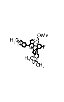 C=CC(=O)N1CCn2nc(-c3nc(-c4ccc5nn(C)cc5c4)c4ccsc4c3-c3c(F)cc(F)cc3OCCOC)cc2C1C